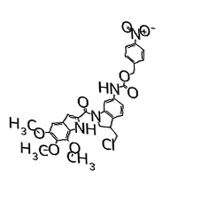 COc1cc2cc(C(=O)N3CC(CCl)c4ccc(NC(=O)OCc5ccc([N+](=O)[O-])cc5)cc43)[nH]c2c(OC)c1OC